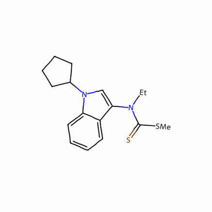 CCN(C(=S)SC)c1cn(C2CCCC2)c2ccccc12